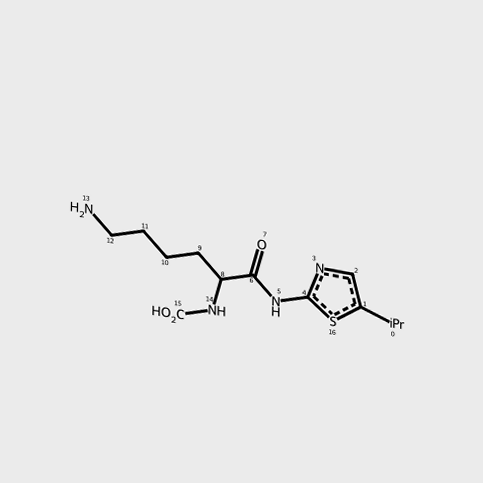 CC(C)c1cnc(NC(=O)C(CCCCN)NC(=O)O)s1